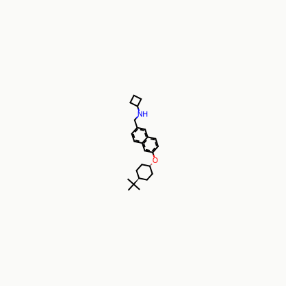 CC(C)(C)[C@H]1CC[C@H](Oc2ccc3cc(CNC4CCC4)ccc3c2)CC1